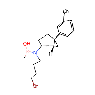 CB(O)N(CCCCBr)C1CC[C@]2(c3cccc(C#N)c3)C[C@H]12